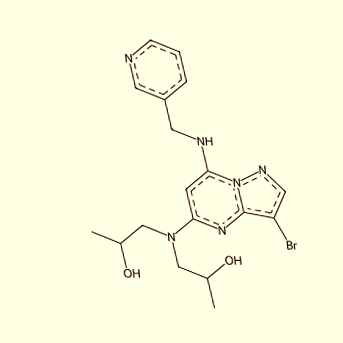 CC(O)CN(CC(C)O)c1cc(NCc2cccnc2)n2ncc(Br)c2n1